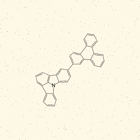 c1ccc2c(c1)c1ccccc1c1cc(-c3ccc4c(c3)c3cccc5c6ccccc6n4c53)ccc21